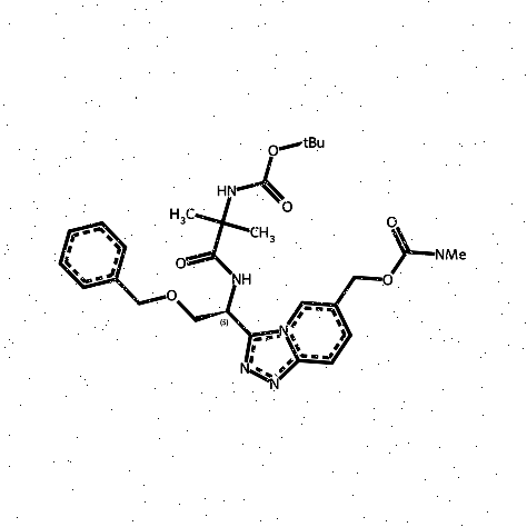 CNC(=O)OCc1ccc2nnc([C@@H](COCc3ccccc3)NC(=O)C(C)(C)NC(=O)OC(C)(C)C)n2c1